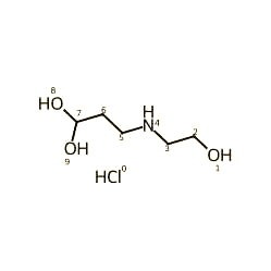 Cl.OCCNCCC(O)O